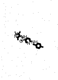 Cc1ccc(CNc2ccc([S+]([O-])Nc3c(C)nn(C)c3C)cn2)cc1